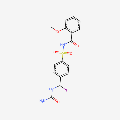 COc1ccccc1C(=O)NS(=O)(=O)c1ccc(C(I)NC(N)=O)cc1